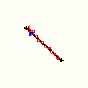 CC(C)(C)CCOCCOCCOCCOCCOCCOCCOCCOCCNC(=O)COCC(=O)C(C)(C)C